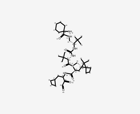 CC(C)(C)[C@H](NC(=O)N[C@H](CNC(=O)C1(N)CCCCC1)C(C)(C)C)C(=O)N1C[C@]2(C[C@H]1C(=O)NC(CC1CCC1)C(=O)C=O)C(C)(C)C21CCC1